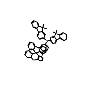 CC1(C)c2ccccc2-c2ccc(N(c3ccc(-c4cccc5c4C4(c6ccccc6S5)c5ccccc5-c5ccccc54)cc3)c3ccc4c(c3)C(C)(C)c3ccccc3-4)cc21